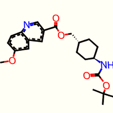 COc1ccc2ncc(C(=O)OC[C@H]3CC[C@H](NC(=O)OC(C)(C)C)CC3)cc2c1